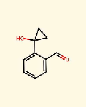 O=Cc1ccccc1C1(O)CC1